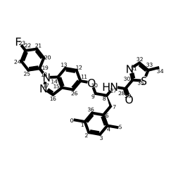 Cc1ccc(C)c(C[C@@H](COc2ccc3c(cnn3-c3ccc(F)cc3)c2)NC(=O)c2ncc(C)s2)c1